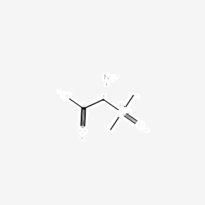 C[SH](C)(=O)CC(=O)[O-].[Na+]